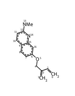 C=CC(=C)COc1ccc2ccc(NC)nc2c1